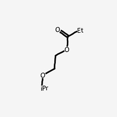 CCC(=O)OCCOC(C)C